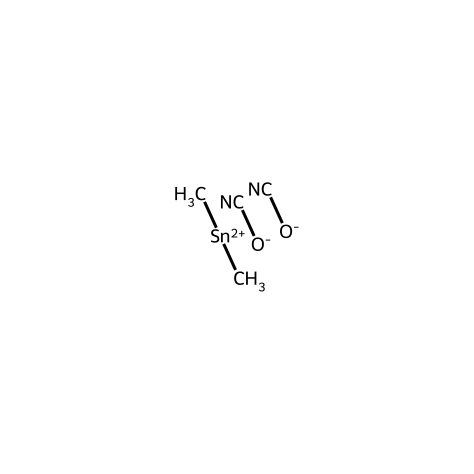 N#C[O-].N#C[O-].[CH3][Sn+2][CH3]